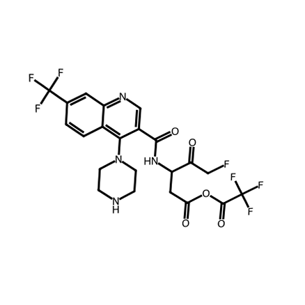 O=C(CC(NC(=O)c1cnc2cc(C(F)(F)F)ccc2c1N1CCNCC1)C(=O)CF)OC(=O)C(F)(F)F